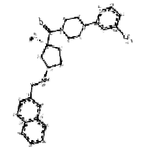 CC(C)[C@]1(C(=O)N2CCN(c3cc(C(F)(F)F)ccn3)CC2)CC[C@@H](NCc2ccc3ccccc3c2)C1